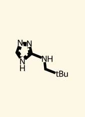 CC(C)(C)CNc1nnc[nH]1